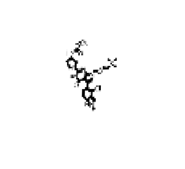 Cn1cc2c(Cl)c(-c3cn(COCC[Si](C)(C)C)c4nc(N5CC[C@H](NC(=O)OC(C)(C)C)C5)n(C)c(=O)c34)ccc2n1